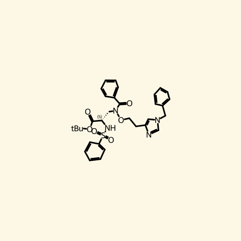 CC(C)(C)OC(=O)[C@H](CN(OCCc1cn(Cc2ccccc2)cn1)C(=O)c1ccccc1)NS(=O)(=O)c1ccccc1